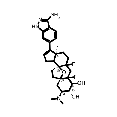 CN(C)[C@H]1C[C@@]23CC[C@]4(O2)C2CC=C(c5ccc6c(N)n[nH]c6c5)[C@@]2(C)CCC4(F)CC3(F)[C@@H](O)[C@@H]1O